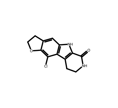 O=C1NCCc2c1[nH]c1cc3c(c(Cl)c21)OCC3